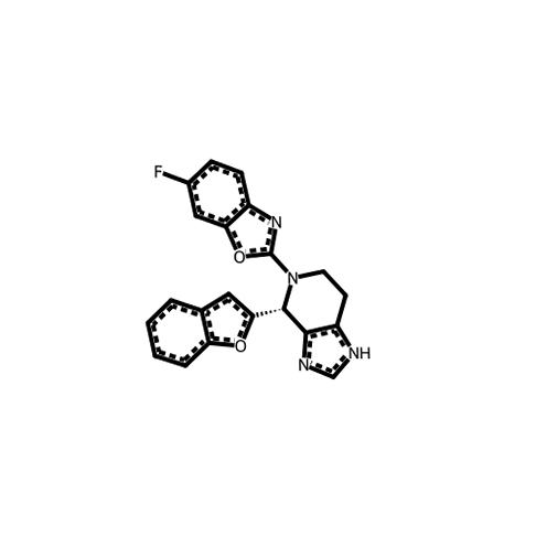 Fc1ccc2nc(N3CCc4[nH]cnc4[C@@H]3c3cc4ccccc4o3)oc2c1